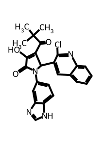 CC(C)(C)C(=O)C1=C(O)C(=O)N(c2ccc3[nH]cnc3c2)C1c1cc2ccccc2nc1Cl